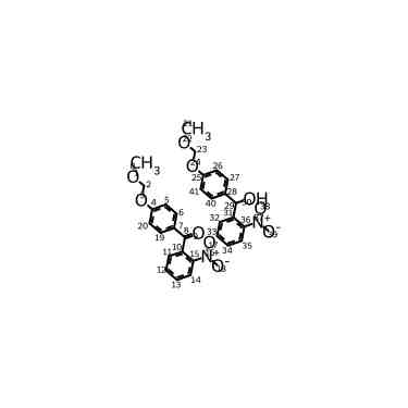 COCOc1ccc(C(=O)c2ccccc2[N+](=O)[O-])cc1.COCOc1ccc(C(O)c2ccccc2[N+](=O)[O-])cc1